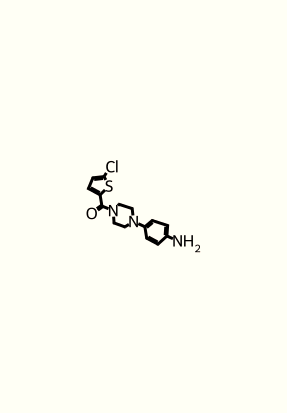 Nc1ccc(N2CCN(C(=O)c3ccc(Cl)s3)CC2)cc1